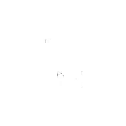 CC/C=C\CCC(NI)C(F)(F)F